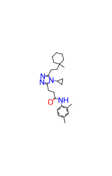 Cc1ccc(NC(=O)CCc2nnc(CCC3(C)CCCCC3)n2C2CC2)c(C)c1